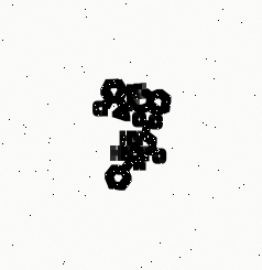 O=C(NC1(c2ccccc2Cl)CC1)C1=C(OCC2=CC(=O)N3N=C(C4=CCCCC4)NC3N2)C=CCC1Cl